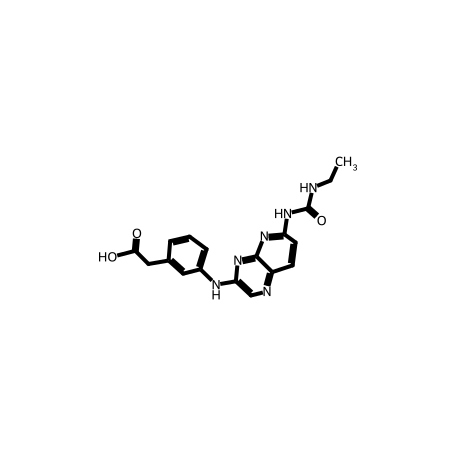 CCNC(=O)Nc1ccc2ncc(Nc3cccc(CC(=O)O)c3)nc2n1